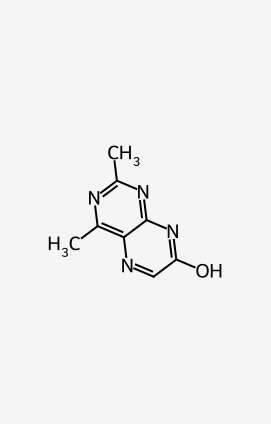 Cc1nc(C)c2ncc(O)nc2n1